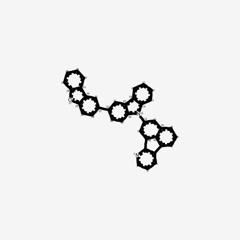 c1cnc2c(c1)-c1cccc3cc(-n4c5ccccc5c5cc(-c6ccc7oc8ccccc8c7c6)ccc54)cc-2c13